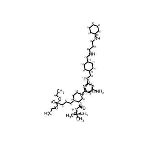 CCOP(=O)(CCCN1CCN(c2cc(N)nc(NCC3CCC(CNCCCNC4CCCCC4)CC3)n2)C[C@H]1C(=O)NC(C)(C)C)OCC